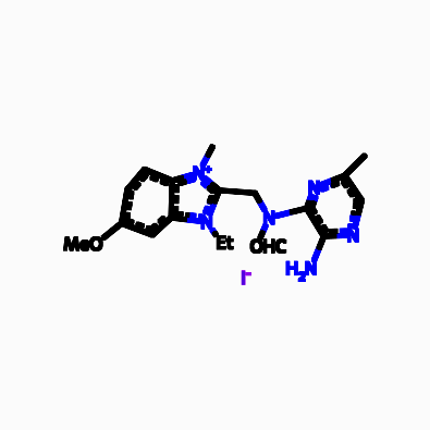 CCn1c(CN(C=O)c2nc(C)cnc2N)[n+](C)c2ccc(OC)cc21.[I-]